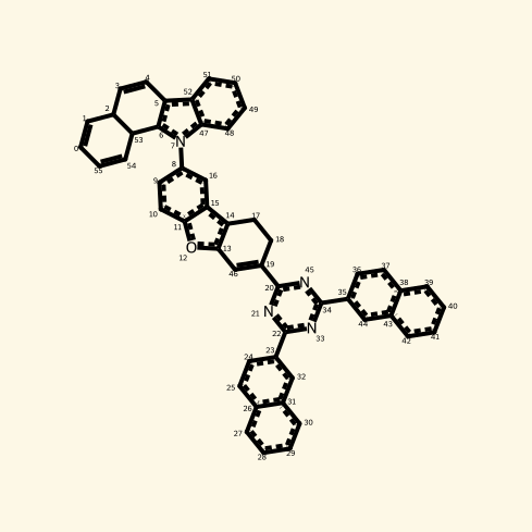 C1=CC2C=Cc3c(n(-c4ccc5oc6c(c5c4)CCC(c4nc(-c5ccc7ccccc7c5)nc(-c5ccc7ccccc7c5)n4)=C6)c4ccccc34)C2C=C1